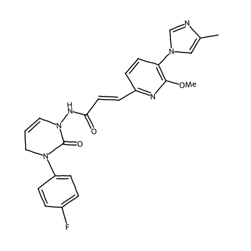 COc1nc(C=CC(=O)NN2C=CCN(c3ccc(F)cc3)C2=O)ccc1-n1cnc(C)c1